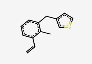 C=Cc1cccc(Cc2ccsc2)c1C